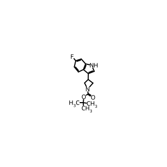 CC(C)(C)OC(=O)N1CC(c2c[nH]c3cc(F)ccc23)C1